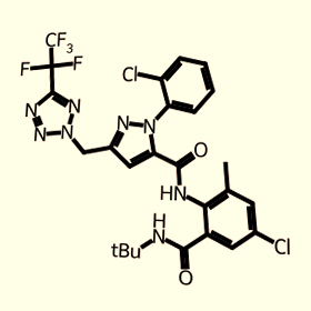 Cc1cc(Cl)cc(C(=O)NC(C)(C)C)c1NC(=O)c1cc(Cn2nnc(C(F)(F)C(F)(F)F)n2)nn1-c1ccccc1Cl